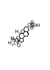 CC(=O)[C@@]1(O)CCC2C3CC=C4CC(OS(=O)(=O)O)CCC4(C)C3CCC21C